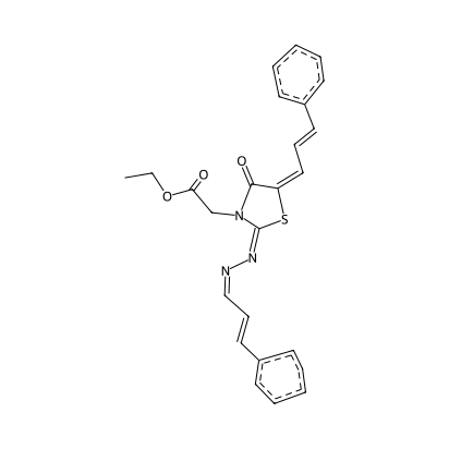 CCOC(=O)CN1C(=O)/C(=C\C=C\c2ccccc2)S/C1=N/N=C\C=C\c1ccccc1